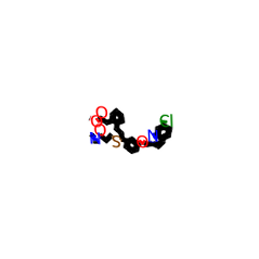 COC(=O)Cc1ccccc1CCC(SCCC(=O)N(C)C)c1cccc(OCc2ccc3ccc(Cl)cc3n2)c1